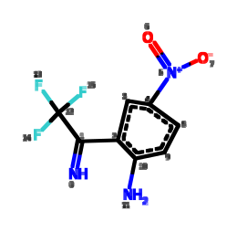 N=C(c1cc([N+](=O)[O-])ccc1N)C(F)(F)F